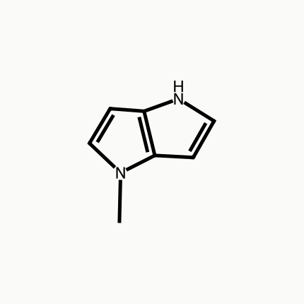 Cn1ccc2[nH]ccc21